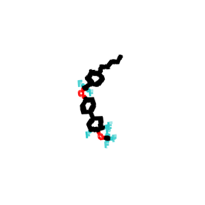 CCCCCc1ccc(C(F)(F)Oc2ccc(-c3cc(F)c(OC(F)(F)F)c(F)c3)cc2)cc1